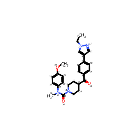 CCn1cc(-c2ccc(C(=O)C3CCN(C(=O)N(C)c4ccc(OC)cc4)CC3)cc2)cn1